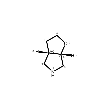 C1C[C@H]2CNC[C@H]2O1